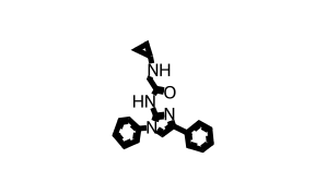 O=C(CNC1CC1)Nc1nc(-c2ccccc2)cn1-c1ccccc1